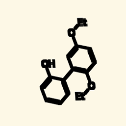 CCOc1ccc(OCC)c(-c2ccccc2O)c1